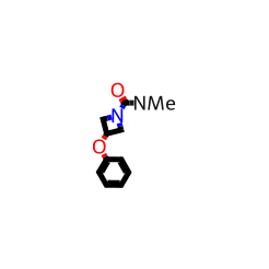 CNC(=O)N1CC(Oc2ccccc2)C1